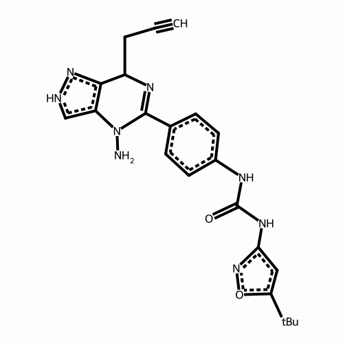 C#CCC1N=C(c2ccc(NC(=O)Nc3cc(C(C)(C)C)on3)cc2)N(N)c2c[nH]nc21